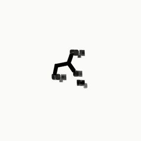 O=C(O)CC(O)C(=O)O.P